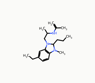 C=C(C)NC(C)CN1c2cc(CC)ccc2N(C)C1CCC